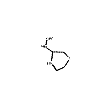 CCCNC1CSCCN1